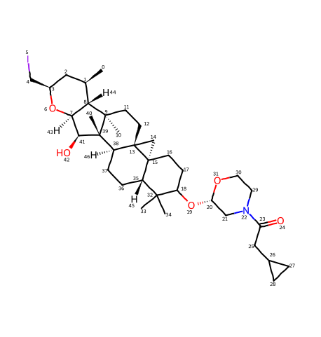 C[C@@H]1C[C@H](CI)O[C@H]2[C@H]1[C@@]1(C)CC[C@@]34C[C@@]35CCC(O[C@H]3CN(C(=O)CC6CC6)CCO3)C(C)(C)[C@@H]5CC[C@H]4[C@]1(C)[C@H]2O